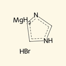 Br.[MgH2].c1c[nH]cn1